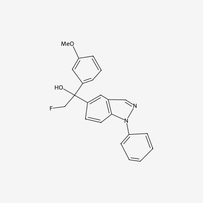 COc1cccc(C(O)(CF)c2ccc3c(cnn3-c3ccccc3)c2)c1